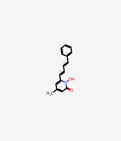 Cc1cc(/C=C/C=C/c2ccccc2)n(O)c(=O)c1